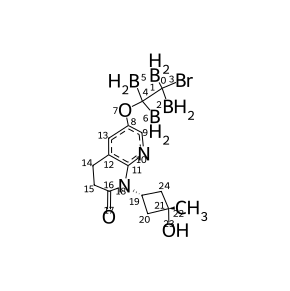 BC(B)(Br)C(B)(B)Oc1cnc2c(c1)CCC(=O)N2[C@H]1C[C@@](C)(O)C1